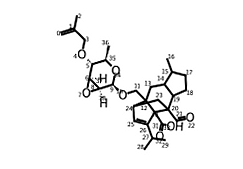 C=C(C)CO[C@H]1[C@@H]2O[C@@H]2[C@H](OCC23CC4C(C)CCC4C4(C=O)CC2C=C(C(C)C)C43C(=O)O)O[C@@H]1C